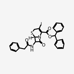 O=C(Cc1ccccc1)NC1C(=O)N2C(C(=O)OC(c3ccccc3)c3ccccc3)=C(I)CS[C@@H]12